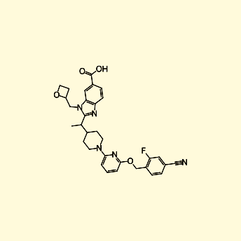 CC(c1nc2ccc(C(=O)O)cc2n1CC1CCO1)C1CCN(c2cccc(OCc3ccc(C#N)cc3F)n2)CC1